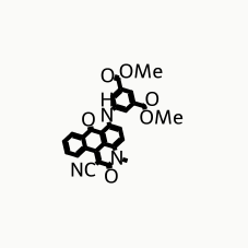 COC(=O)c1cc(Nc2ccc3c4c2C(=O)c2ccccc2-c4c(C#N)c(=O)n3C)cc(C(=O)OC)c1